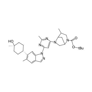 Cc1nc(N2CC3CC2C(C)CN3C(=O)OC(C)(C)C)cc(-n2ncc3cc(C)c([C@H]4CC[C@](C)(O)CC4)cc32)n1